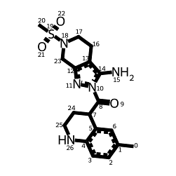 Cc1ccc2c(c1)C(C(=O)n1nc3c(c1N)CCN(S(C)(=O)=O)C3)CCN2